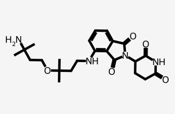 CC(C)(N)CCOC(C)(C)CCNc1cccc2c1C(=O)N(C1CCC(=O)NC1=O)C2=O